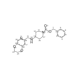 O=C(OCc1ccccc1)N1CCC(NCc2cc3c(cn2)OCCO3)CC1